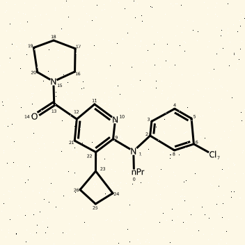 CCCN(c1cccc(Cl)c1)c1ncc(C(=O)N2CCCCC2)cc1C1CCC1